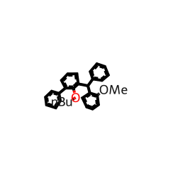 CCCCOc1c(-c2ccccc2)cccc1C(c1ccccc1)c1ccccc1OC